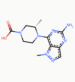 C[C@H]1CN(C(=O)O)CCN1c1nc(N)nc2cnn(C)c12